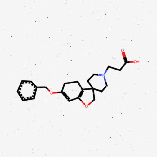 O=C(O)CCN1CCC2(CC1)COC1=C2CCC(OCc2ccccc2)=C1